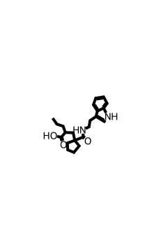 CCCC(CC1(C(=O)NCCc2c[nH]c3ccccc23)CCCC1)C(=O)O